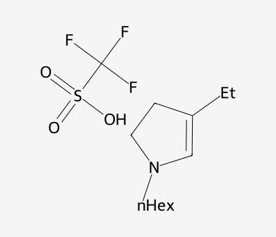 CCCCCCN1C=C(CC)CC1.O=S(=O)(O)C(F)(F)F